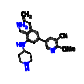 C=C/C=c1/cc(-c2cnc(OC)c(C#N)c2)cc(NC2CCNCC2)/c1=C/N